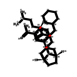 CN(C)CC[C@H](O)C(=O)N(CCN1[C@@H]2CC[C@H]1C[C@@H](c1cccc(C(N)=O)c1)C2)CC1CCCCC1